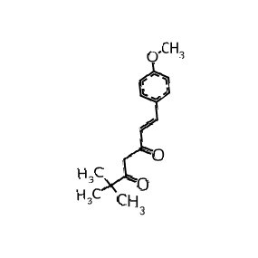 COc1ccc(C=CC(=O)CC(=O)C(C)(C)C)cc1